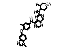 Cc1cc(Nc2ncnc3cnc(NC4CCNCC4F)nc23)ccc1Oc1ccc2c(c1)ncn2C